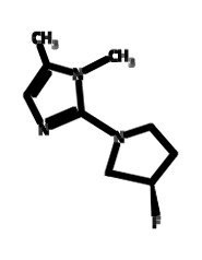 Cc1cnc(N2CC[C@@H](F)C2)n1C